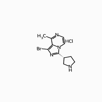 Cc1nccn2c([C@@H]3CCNC3)nc(Br)c12.Cl